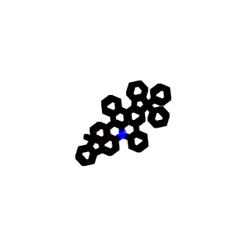 CC1(C)c2ccccc2-c2ccc(N(c3ccccc3-c3ccc4c(c3)C(c3ccccc3)(c3ccccc3)C3=C4C=CCC3)c3ccc4ccccc4c3-c3ccccc3)cc21